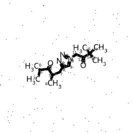 CC(C)C(=O)C(C)Cc1cn(CC(=O)C(C)(C)C)nn1